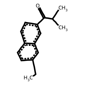 CCc1ccc2ccc(C(=O)C(C)C)cc2c1